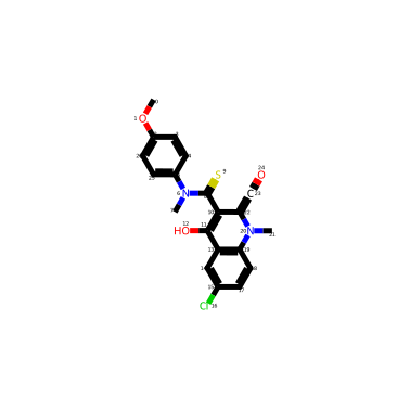 COc1ccc(N(C)C(=S)C2=C(O)c3cc(Cl)ccc3N(C)C2=C=O)cc1